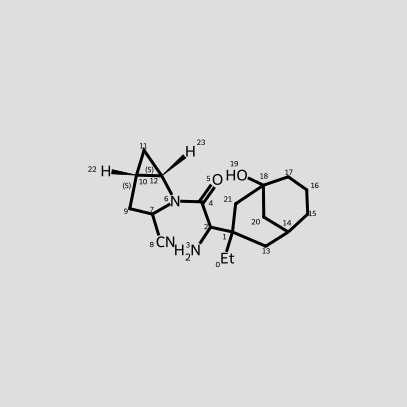 CCC1(C(N)C(=O)N2C(C#N)C[C@@H]3C[C@@H]32)CC2CCCC(O)(C2)C1